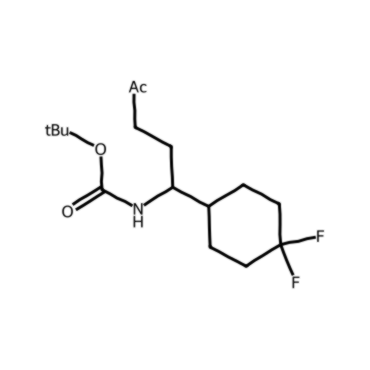 CC(=O)CCC(NC(=O)OC(C)(C)C)C1CCC(F)(F)CC1